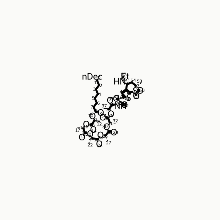 CCCCCCCCCCCCCCCCCC(=O)O[C@@H](C)C(=O)O[C@@H](C)C(=O)O[C@@H](C)C(=O)O[C@@H](C)C(=O)O[C@@H](C)C(=O)O[C@@H](C)C(=O)NS(=O)(=O)c1cc2c(s1)S(=O)(=O)[C@@H](C)C[C@@H]2NCC